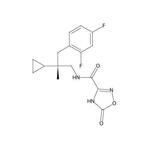 C[C@](CNC(=O)c1noc(=O)[nH]1)(Cc1ccc(F)cc1F)C1CC1